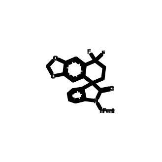 CCCCCN1C(=O)C2(CCC(F)(F)c3cc4c(cc32)OCO4)c2ccccc21